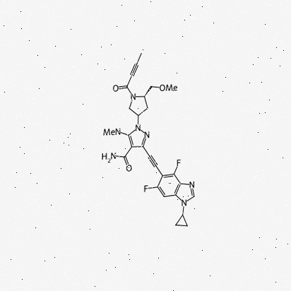 CC#CC(=O)N1CC(n2nc(C#Cc3c(F)cc4c(ncn4C4CC4)c3F)c(C(N)=O)c2NC)C[C@@H]1COC